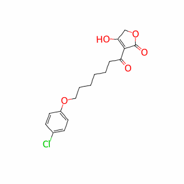 O=C(CCCCCCOc1ccc(Cl)cc1)C1=C(O)COC1=O